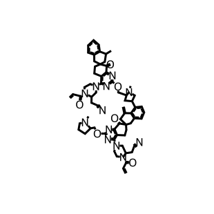 C=CC(=O)N1CCN(c2nc(OCC3CCCN3C)nc3c2CCC2(CC(=C)c4c(cccc4C4CC(COc5nc6c(c(N7CCN(C(=O)C=C)C(CC#N)C7)n5)CCC5(Cc7ccccc7C(C)C5)C6=O)N(C)C4)C2)C3=O)CC1CC#N